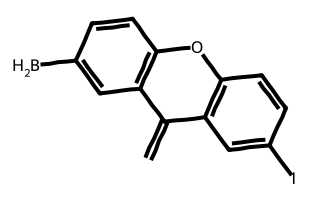 Bc1ccc2c(c1)C(=C)c1cc(I)ccc1O2